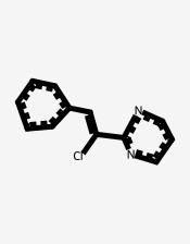 ClC(=Cc1ccccc1)c1ncccn1